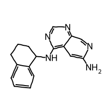 Nc1cc2c(NC3CCCc4ccccc43)ncnc2cn1